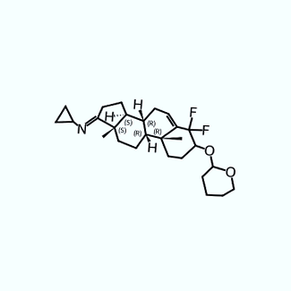 C[C@]12CCC(OC3CCCCO3)C(F)(F)C1=CC[C@@H]1[C@H]2CC[C@]2(C)C(=NC3CC3)CC[C@@H]12